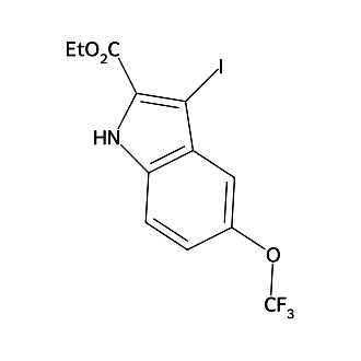 CCOC(=O)c1[nH]c2ccc(OC(F)(F)F)cc2c1I